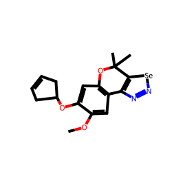 COc1cc2c(cc1OC1CC=CC1)OC(C)(C)c1[se]nnc1-2